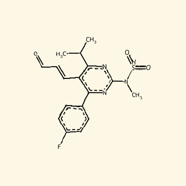 CC(C)c1nc(N(C)[SH](=O)=O)nc(-c2ccc(F)cc2)c1C=CC=O